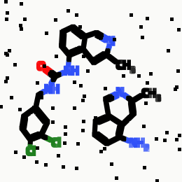 Cc1cc2c(N)cccc2cn1.Cc1cc2c(NC(=O)NCc3ccc(Cl)c(Cl)c3)cccc2cn1